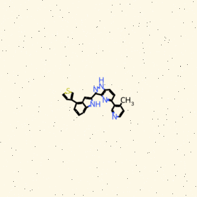 Cc1ccncc1-c1ccc2[nH]nc(-c3cc4c(-c5ccsc5)cccc4[nH]3)c2n1